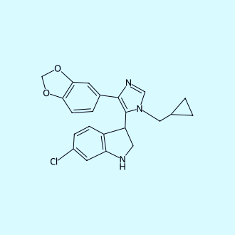 Clc1ccc2c(c1)NCC2c1c(-c2ccc3c(c2)OCO3)ncn1CC1CC1